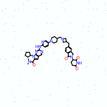 CN(C)C(=O)c1cc2cnc(Nc3ccc(N4CCC(CN5CC(Cc6ccc7c(c6)CN(C6CCC(=O)NC6=O)C7=O)C5)CC4)cn3)nc2n1C1CCCC1